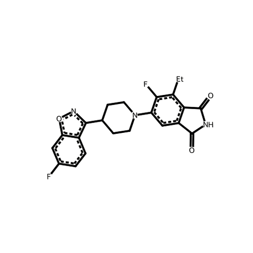 CCc1c(F)c(N2CCC(c3noc4cc(F)ccc34)CC2)cc2c1C(=O)NC2=O